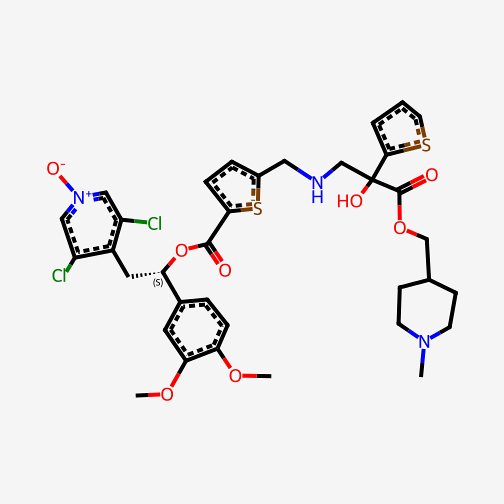 COc1ccc([C@H](Cc2c(Cl)c[n+]([O-])cc2Cl)OC(=O)c2ccc(CNCC(O)(C(=O)OCC3CCN(C)CC3)c3cccs3)s2)cc1OC